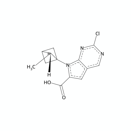 C[C@@H]1C2CC1(n1c(C(=O)O)cc3cnc(Cl)nc31)C2